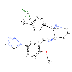 COc1ccc(-n2cnnn2)cc1CN[C@@H]1CCCN[C@@H]1c1ccc(C)cc1.Cl.Cl